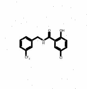 O=C(NCc1cccc(C(F)(F)F)c1)c1cc(Cl)ccc1O